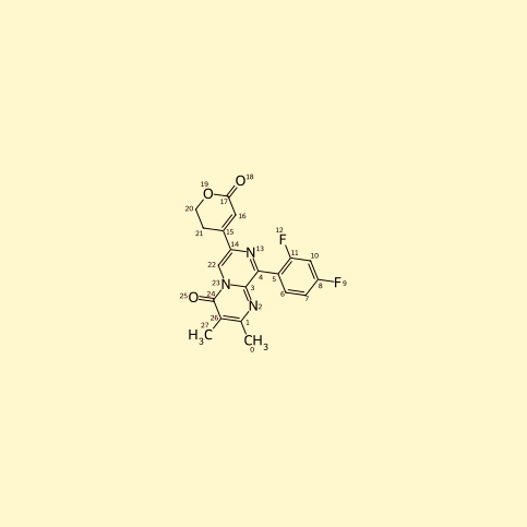 Cc1nc2c(-c3ccc(F)cc3F)nc(C3=CC(=O)OCC3)cn2c(=O)c1C